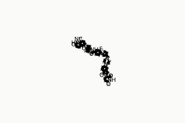 CC1(C)C(NC(=O)c2ccc(N3CCC(CN4CCN(c5ccc6c(c5)CN(C5CCC(=O)NC5=O)C6=O)CC4)C3)c(F)c2)C(C)(C)C1Oc1ccc(C#N)c2[nH]c(=O)ccc12